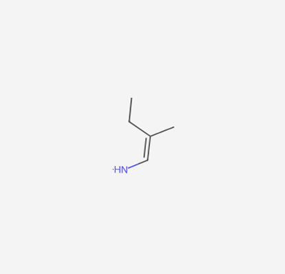 CC/C(C)=C\[NH]